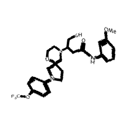 COc1cccc(NC(=O)CC(CO)N2CCOC3(CCN(c4ccc(OC(F)(F)F)cc4)C3)C2)c1